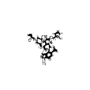 C=CC(=O)N1CCN(c2c(C#N)c(OCC3CCCN3C)nc3c2CCN(c2c(C4CC4)ccc4[nH]ncc24)C3)C(C)C1